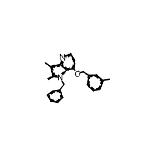 Cc1cccc(COc2ccnc3c(C)c(C)n(Cc4ccccc4)c23)c1